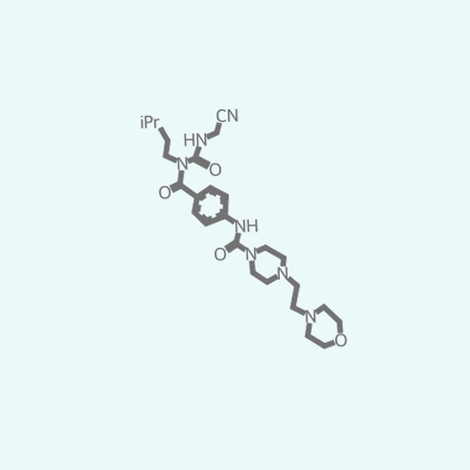 CC(C)CCN(C(=O)NCC#N)C(=O)c1ccc(NC(=O)N2CCN(CCN3CCOCC3)CC2)cc1